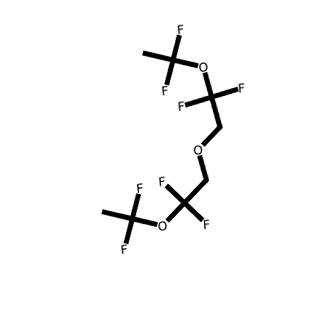 CC(F)(F)OC(F)(F)COCC(F)(F)OC(C)(F)F